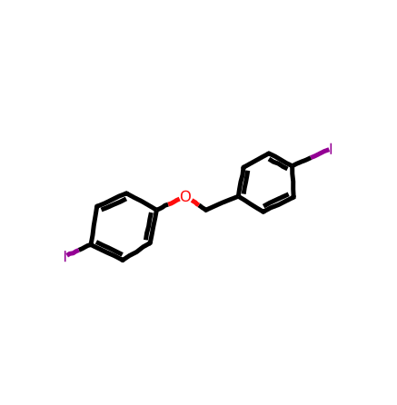 Ic1ccc(COc2ccc(I)cc2)cc1